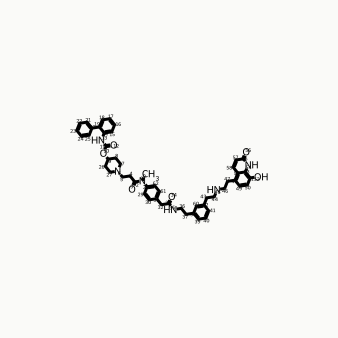 CN(C(=O)CCN1CCC(OC(=O)Nc2ccccc2-c2ccccc2)CC1)c1ccc(CC(=O)NCCc2cccc(CCNCCc3ccc(O)c4[nH]c(=O)ccc34)c2)cc1